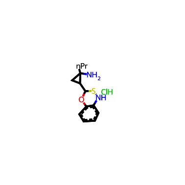 CCCC1(N)CC1C1Oc2ccccc2NS1.Cl